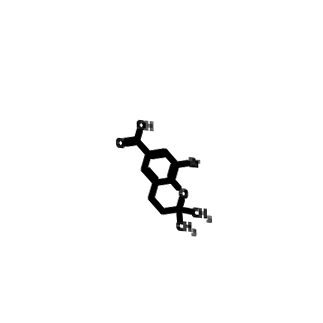 CC1(C)CCc2cc(C(=O)O)cc(Br)c2O1